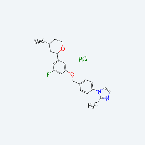 CSC1CCOC(c2cc(F)cc(OCc3ccc(-n4ccnc4C)cc3)c2)C1.Cl